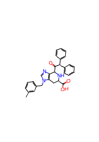 Cc1cccc(Cn2cnc3c2CC(C(=O)O)NC3C(=O)C(c2ccccc2)c2ccccc2)c1